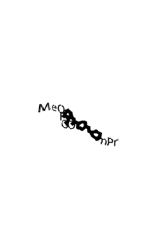 CCCC1CCC(CCC2CCC(C3Cc4ccc(OC)c(F)c4C(=O)O3)CC2)CC1